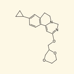 C1=C2c3ccc(C4CC4)cc3CCN2CN=C1OCC1COCCO1